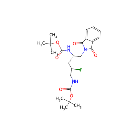 CC(C)(C)OC(=O)NC[C@H](F)C[C@@H](CN1C(=O)c2ccccc2C1=O)NC(=O)OC(C)(C)C